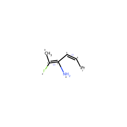 C/C(F)=C(N)\C=C/C(C)C